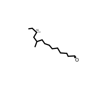 CC[C@H](C)CC(C)CCCCCCCCC=O